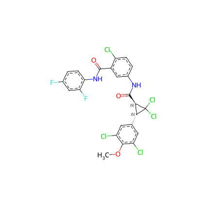 COc1c(Cl)cc([C@@H]2[C@@H](C(=O)Nc3ccc(Cl)c(C(=O)Nc4ccc(F)cc4F)c3)C2(Cl)Cl)cc1Cl